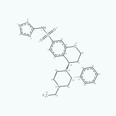 O=S(=O)(Nc1ncns1)c1ccc2c(c1)OCC[C@H]2N1CCN(CC(F)(F)F)C[C@H]1c1ccccc1